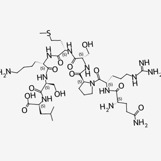 CSCC[C@H](NC(=O)[C@H](CO)NC(=O)[C@@H]1CCCN1C(=O)[C@H](CCCNC(=N)N)NC(=O)[C@@H](N)CCC(N)=O)C(=O)N[C@@H](CCCCN)C(=O)N[C@@H](CO)C(=O)N[C@@H](CC(C)C)C(=O)O